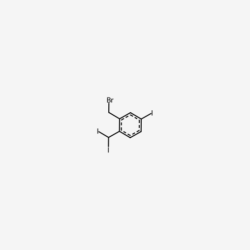 BrCc1cc(I)ccc1C(I)I